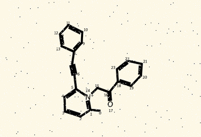 Cc1cccc(C#Cc2ccccc2)[n+]1CC(=O)c1ccccc1